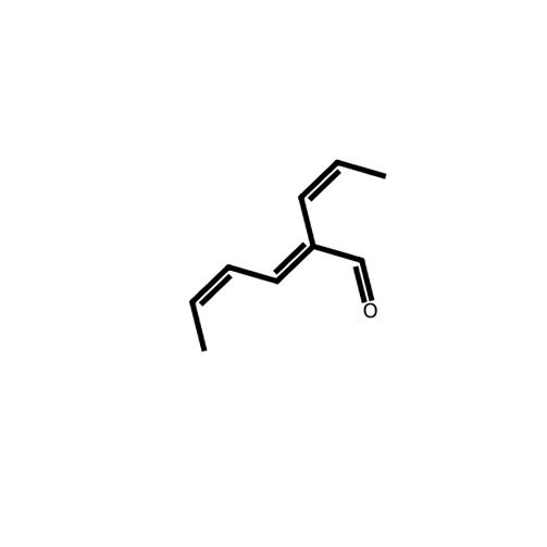 C\C=C/C=C(C=O)\C=C/C